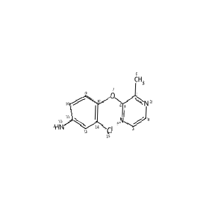 Cc1nccnc1Oc1ccc([NH])cc1Cl